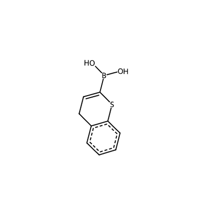 OB(O)C1=CCc2ccccc2S1